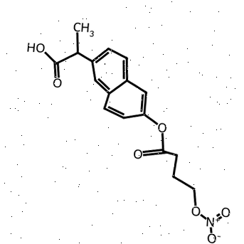 CC(C(=O)O)c1ccc2cc(OC(=O)CCCO[N+](=O)[O-])ccc2c1